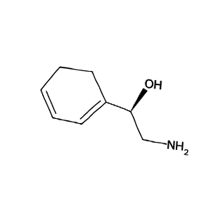 NC[C@H](O)C1=CC=CCC1